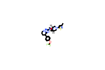 Cc1cc(N2C[C@@H]3CC(C)[C@H](C2)[C@H]3Nc2nc3n(n2)CCCC3c2ccc(OC(F)F)cc2)sn1